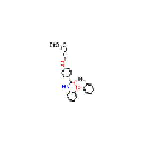 CCOC(=O)CCCOc1ccc(C(=O)Nc2ccccc2Oc2ccccc2C#N)cc1